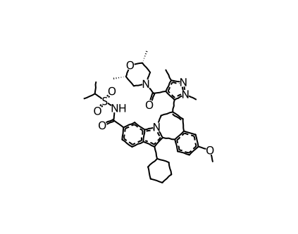 COc1ccc2c(c1)C=C(c1c(C(=O)N3C[C@@H](C)O[C@@H](C)C3)c(C)nn1C)Cn1c-2c(C2CCCCC2)c2ccc(C(=O)NS(=O)(=O)C(C)C)cc21